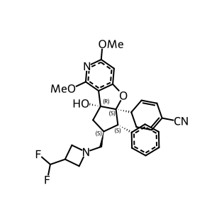 COc1cc2c(c(OC)n1)[C@]1(O)C[C@H](CN3CC(C(F)F)C3)[C@@H](c3ccccc3)[C@]1(C1C=CC(C#N)=CC1)O2